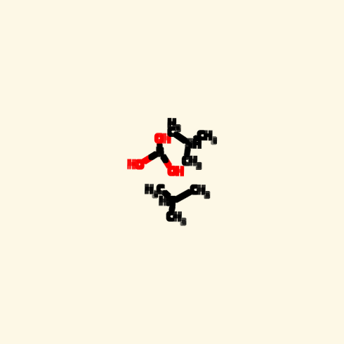 C[SiH](C)C.C[SiH](C)C.OB(O)O